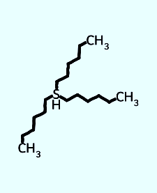 CCCCCC[SH](CCCCCC)CCCCCC